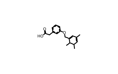 CC1=CC(C)C(C)C(COc2cccc(CC(=O)O)c2)=C1